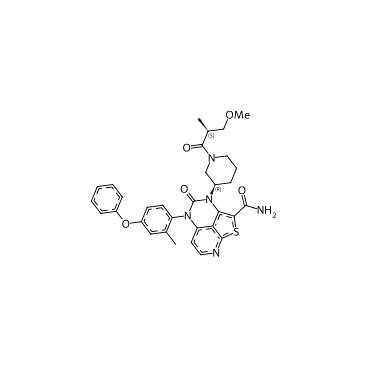 COC[C@H](C)C(=O)N1CCC[C@@H](N2C(=O)N(c3ccc(Oc4ccccc4)cc3C)c3ccnc4sc(C(N)=O)c2c34)C1